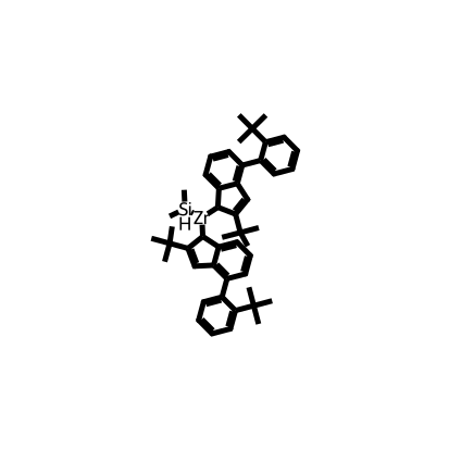 C[SiH](C)[Zr]([CH]1C(C(C)(C)C)=Cc2c(-c3ccccc3C(C)(C)C)cccc21)[CH]1C(C(C)(C)C)=Cc2c(-c3ccccc3C(C)(C)C)cccc21